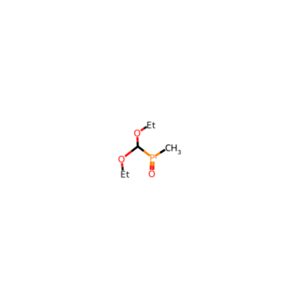 CCOC(OCC)[P](C)=O